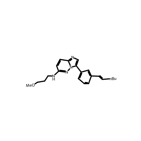 CCCCC=Cc1cccc(-c2cnc3ccc(NCCCOC)nn23)c1